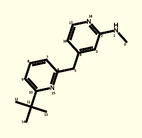 CNc1cc(Cc2cccc(C(C)(C)C)n2)ccn1